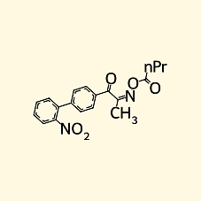 CCCC(=O)O/N=C(/C)C(=O)c1ccc(-c2ccccc2[N+](=O)[O-])cc1